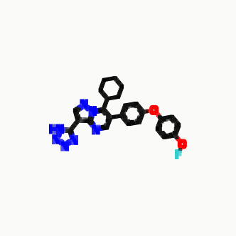 FOc1ccc(Oc2ccc(-c3cnc4c(-c5nnn[nH]5)cnn4c3C3CCCCC3)cc2)cc1